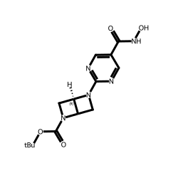 CC(C)(C)OC(=O)N1C[C@@H]2C1CN2c1ncc(C(=O)NO)cn1